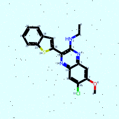 CCNc1nc2cc(OC)c(Cl)cc2nc1-c1cc2ccccc2s1